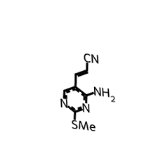 CSc1ncc(C=CC#N)c(N)n1